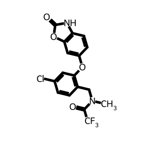 CN(Cc1ccc(Cl)cc1Oc1ccc2[nH]c(=O)oc2c1)C(=O)C(F)(F)F